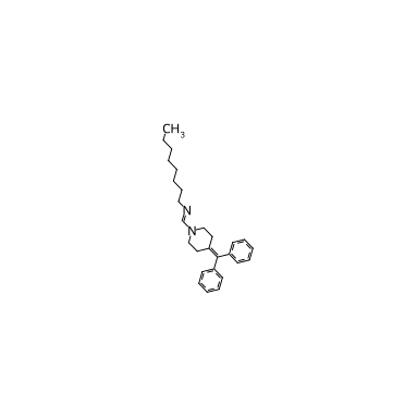 CCCCCCCCN=CN1CCC(=C(c2ccccc2)c2ccccc2)CC1